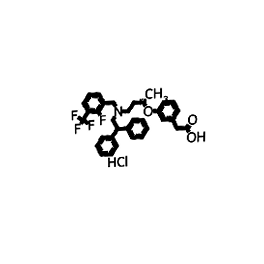 C[C@H](CCN(Cc1cccc(C(F)(F)F)c1F)CC(c1ccccc1)c1ccccc1)Oc1cccc(CC(=O)O)c1.Cl